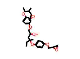 CCC(C)(CC(O)COc1ccc(OC(C)C(C)C2CO2)cc1)Oc1ccc(OCC2CO2)cc1